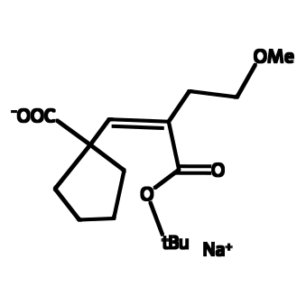 COCCC(=CC1(C(=O)[O-])CCCC1)C(=O)OC(C)(C)C.[Na+]